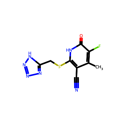 Cc1c(C#N)c(SCc2nnn[nH]2)[nH]c(=O)c1F